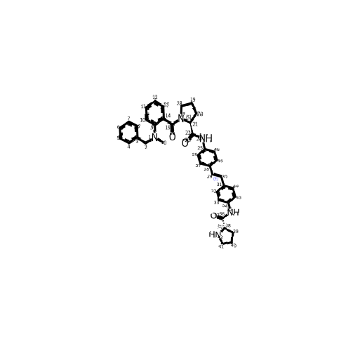 CN(Cc1ccccc1)c1ccccc1C(=O)N1CCC[C@H]1C(=O)Nc1ccc(/C=C/c2ccc(NC(=O)[C@@H]3CCCN3)cc2)cc1